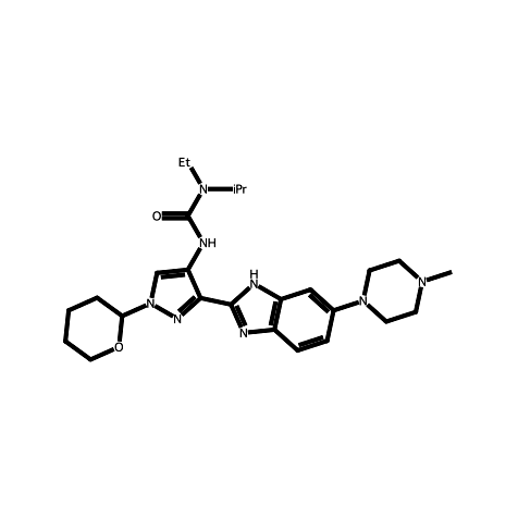 CCN(C(=O)Nc1cn(C2CCCCO2)nc1-c1nc2ccc(N3CCN(C)CC3)cc2[nH]1)C(C)C